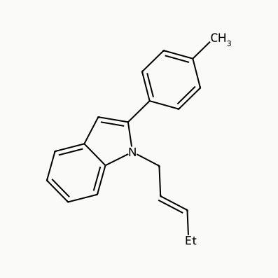 CC/C=C/Cn1c(-c2ccc(C)cc2)cc2ccccc21